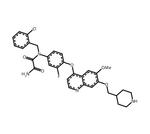 COc1cc2c(Oc3ccc(N(Cc4ccccc4Cl)C(=O)C(N)=O)cc3F)ccnc2cc1OCC1CCNCC1